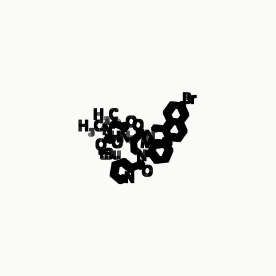 COc1ccc2cc(Br)ccc2c1CN1C(=O)[C@@H](NC(=O)[C@H](C)N(C)C(=O)OC(C)(C)C)CN(C(=O)c2ccccn2)c2ccccc21